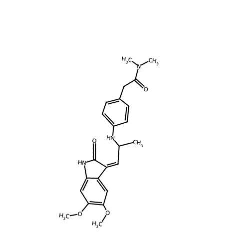 COc1cc2c(cc1OC)C(=CC(C)Nc1ccc(CC(=O)N(C)C)cc1)C(=O)N2